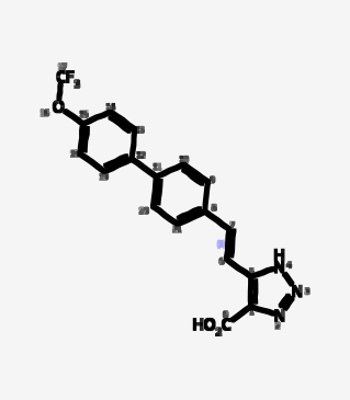 O=C(O)c1nn[nH]c1/C=C/c1ccc(-c2ccc(OC(F)(F)F)cc2)cc1